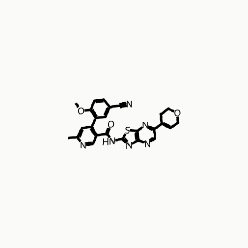 COc1ccc(C#N)cc1-c1cc(C)ncc1C(=O)Nc1nc2ncc(C3=CCOCC3)nc2s1